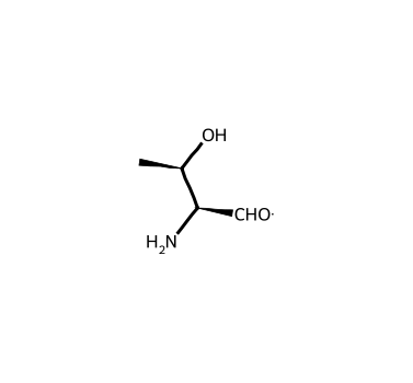 C[C@@H](O)[C@H](N)[C]=O